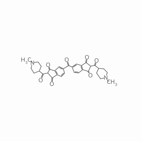 CN1CCC(C(=O)C2C(=O)c3ccc(C(=O)c4ccc5c(c4)C(=O)C(C(=O)C4CCN(C)CC4)C5=O)cc3C2=O)CC1